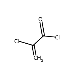 C=C(Cl)C(=O)Cl